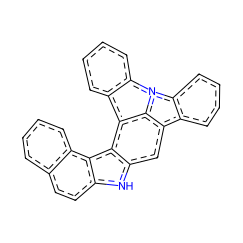 c1ccc2c(c1)ccc1[nH]c3cc4c5ccccc5n5c6ccccc6c(c3c12)c45